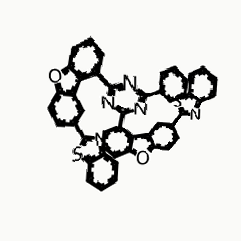 c1ccc(-c2nc(-c3cccc4oc5ccc(-c6nc7ccccc7s6)cc5c34)nc(-c3cccc4oc5ccc(-c6nc7ccccc7s6)cc5c34)n2)cc1